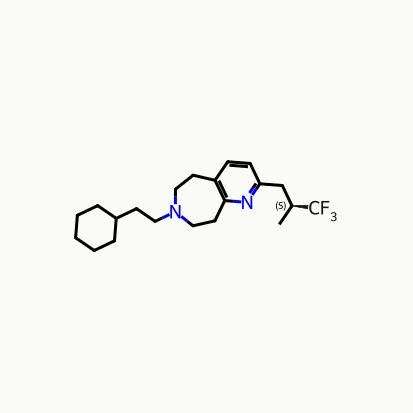 C[C@@H](Cc1ccc2c(n1)CCN(CCC1CCCCC1)CC2)C(F)(F)F